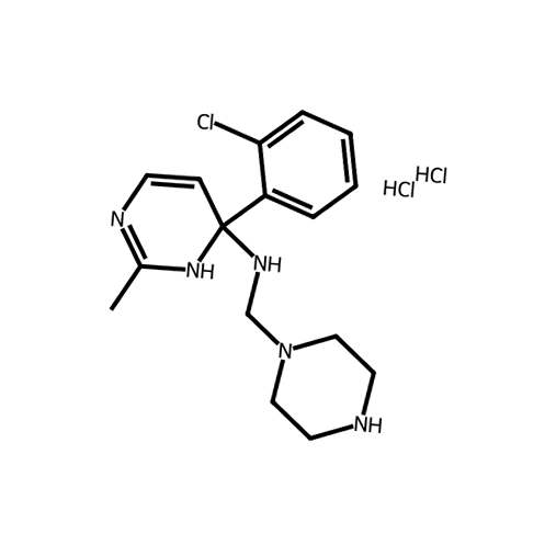 CC1=NC=CC(NCN2CCNCC2)(c2ccccc2Cl)N1.Cl.Cl